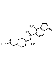 CNCC1CCN(C[C@@H](O)c2ccc3c(c2C)COC3=O)CC1.Cl